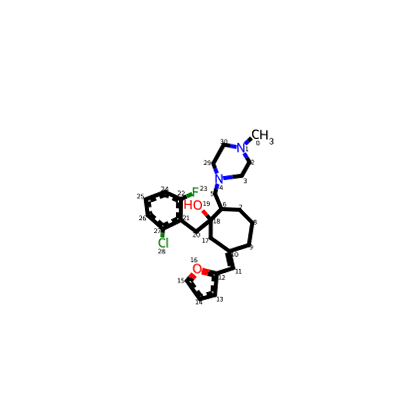 CN1CCN(CC2CCC/C(=C/c3ccco3)CC2(O)Cc2c(F)cccc2Cl)CC1